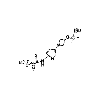 CCOC(=O)NC(=S)Nc1ccc(N2CC(O[Si](C)(C)C(C)(C)C)C2)cn1